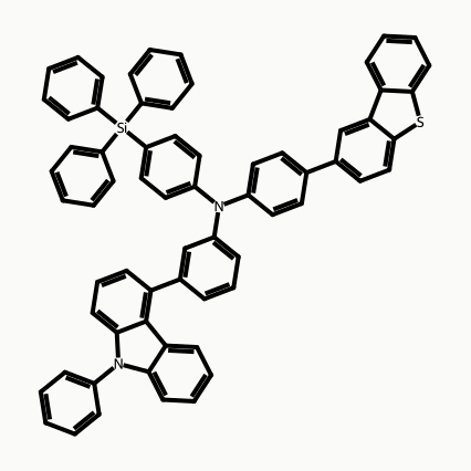 c1ccc(-n2c3ccccc3c3c(-c4cccc(N(c5ccc(-c6ccc7sc8ccccc8c7c6)cc5)c5ccc([Si](c6ccccc6)(c6ccccc6)c6ccccc6)cc5)c4)cccc32)cc1